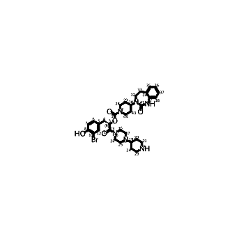 O=C(O[C@H](Cc1ccc(O)c(Br)c1)C(=O)N1CCN(C2CCNCC2)CC1)N1CCC(N2CCc3ccccc3NC2=O)CC1